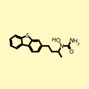 CC(CCc1ccc2c(c1)sc1ccccc12)N(O)C(N)=O